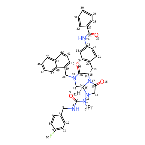 CC(C)N(C(=O)NCc1ccc(F)cc1)N1CC(=O)N2[C@@H](Cc3ccc(NC(=O)c4ccccc4)cc3)C(=O)N(Cc3cccc4ccccc34)C[C@@H]21